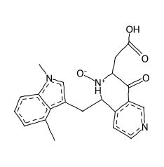 Cc1cccc2c1c(CC1c3ccncc3C(=O)C(CC(=O)O)[NH+]1[O-])cn2C